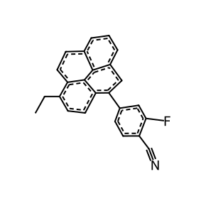 CCc1ccc2c(-c3ccc(C#N)c(F)c3)cc3cccc4ccc1c2c43